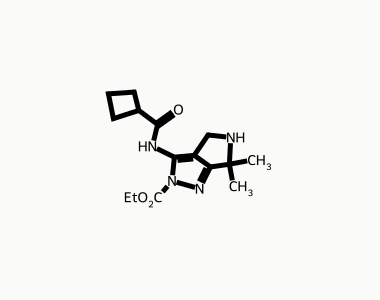 CCOC(=O)n1nc2c(c1NC(=O)C1CCC1)CNC2(C)C